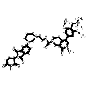 COc1cc(-c2cn(C)c(=O)c3c2CCN(C(=O)NCCN2CCCN(c4ccc5c(c4)C(=O)N(C4CCC(=O)NC4=O)C5=O)C2)C3)cc(OC)c1CN(C)C